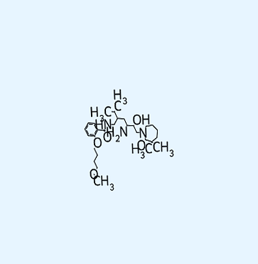 COCCCCOc1ccccc1C(=O)NCC(CC(N)C(O)CN1CCCCC(C)(C)C1=O)C(C)C